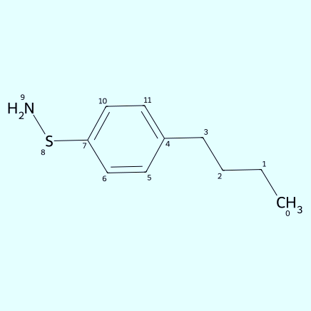 CCCCc1ccc(SN)cc1